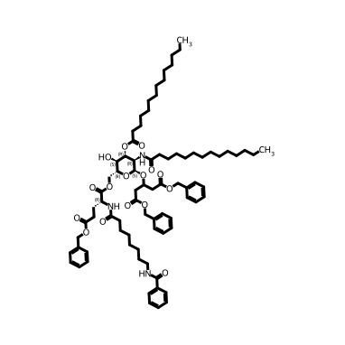 CCCCCCCCCCCCCC(=O)N[C@H]1[C@@H](OC(CC(=O)OCc2ccccc2)CC(=O)OCc2ccccc2)O[C@H](COC(=O)[C@@H](CCC(=O)OCc2ccccc2)NC(=O)CCCCCCCNC(=O)c2ccccc2)[C@@H](O)[C@@H]1OC(=O)CCCCCCCCCCCCC